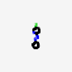 Clc1ccc(N=Nc2ccccc2)nc1